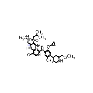 CN/C=C(/Nc1nc(Nc2cc(C)c(C3CCNC(COC)C3)cc2OC2CC2)ncc1Cl)C(=N)S(=O)(=O)CC(C)C